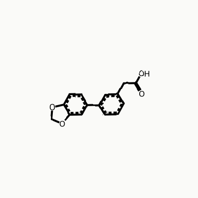 O=C(O)Cc1cc[c]c(-c2ccc3c(c2)OCO3)c1